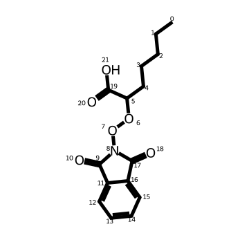 CCCCCC(OON1C(=O)c2ccccc2C1=O)C(=O)O